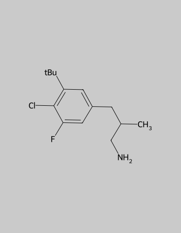 CC(CN)Cc1cc(F)c(Cl)c(C(C)(C)C)c1